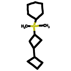 CS(C)(C1CCCCC1)C1CC(C2CCC2)C1